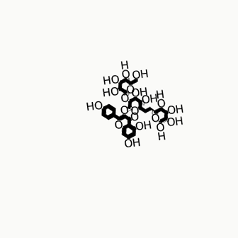 O=c1c(O[C@@H]2OC(CC[C@@H]3OC(O)[C@H](O)C(O)C3O)[C@H](O)C(O)C2O[C@@H]2OC(CO)[C@@H](O)C(O)C2O)c(-c2ccc(O)cc2)oc2cc(O)cc(O)c12